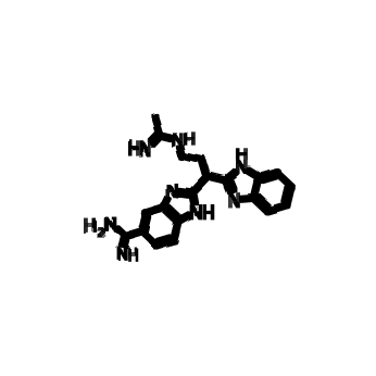 CC(=N)NCCC(c1nc2ccccc2[nH]1)c1nc2cc(C(=N)N)ccc2[nH]1